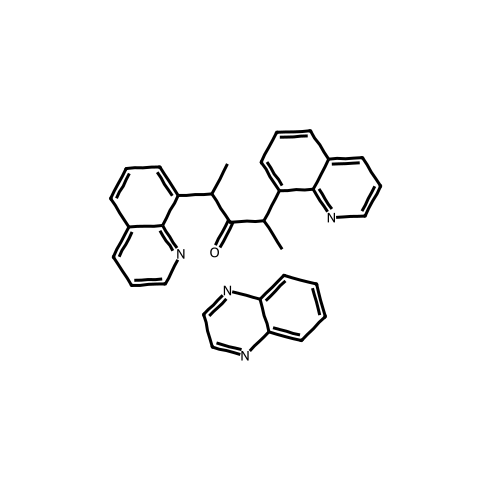 CC(C(=O)C(C)c1cccc2cccnc12)c1cccc2cccnc12.c1ccc2nccnc2c1